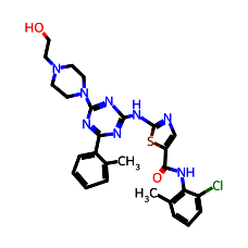 Cc1ccccc1-c1nc(Nc2ncc(C(=O)Nc3c(C)cccc3Cl)s2)nc(N2CCN(CCO)CC2)n1